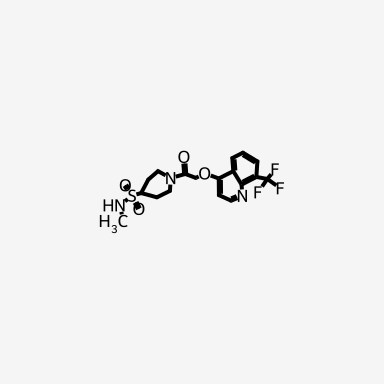 CNS(=O)(=O)C1CCN(C(=O)COc2ccnc3c(C(F)(F)F)cccc23)CC1